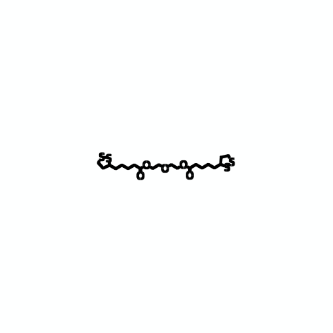 O=C(CCCCC1CCSS1)OCCOCCOC(=O)CCCCC1CCSS1